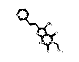 CCn1c(=O)[nH]c2sc(/C=C/c3cccnc3)c(C)c2c1=O